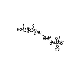 C=CCc1cc(S(=O)(=O)c2ccc(OC(=O)NCCCCCCNC(=O)CCC(=O)OCC(COC(=O)C=C)(COC(=O)C=C)COC(=O)C=C)c(CC=C)c2)ccc1O